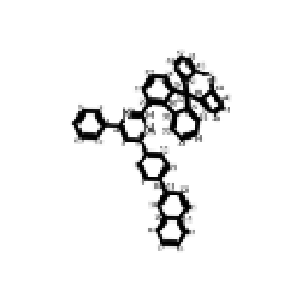 c1ccc(-c2cc(-c3ccc(-c4ccc5ccccc5c4)cc3)nc(-c3cccc4c3-c3ccccc3C43c4ccccc4Sc4ccccc43)n2)cc1